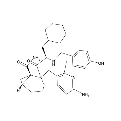 Cc1nc(N)ccc1C[N+]1(C(=O)[C@@H](CC2CCCCC2)NCc2ccc(O)cc2)CCC[C@@H]2C[C@@]21C(N)=O